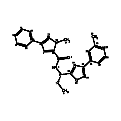 CC[C@H](NC(=O)c1cc(-c2ccccc2)nn1C)c1nc(-c2ccnc(C)c2)no1